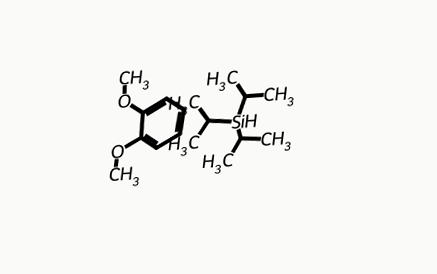 CC(C)[SiH](C(C)C)C(C)C.COc1ccccc1OC